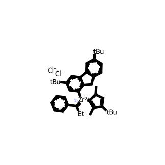 CC/[C](c1ccccc1)=[Zr+2](\[C]1=C(C)C(C(C)(C)C)=CC1C)[c]1cc(C(C)(C)C)cc2c1Cc1ccc(C(C)(C)C)cc1-2.[Cl-].[Cl-]